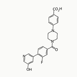 O=C(O)c1ccc(N2CCN(C(=O)c3ccc(-c4cncc(O)c4)c(F)c3)CC2)cc1